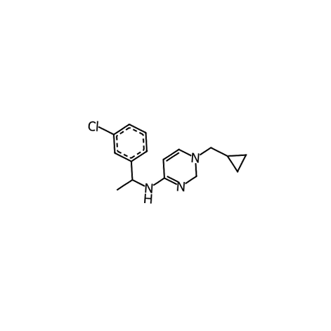 CC(NC1=NCN(CC2CC2)C=C1)c1cccc(Cl)c1